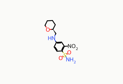 NS(=O)(=O)c1ccc(NC[C@@H]2CCCCO2)cc1[N+](=O)[O-]